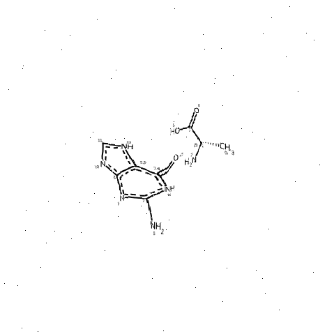 C[C@H](N)C(=O)O.Nc1nc2nc[nH]c2c(=O)[nH]1